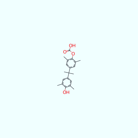 Cc1cc(C(C)(C)c2cc(C)c(OC(=O)O)c(C)c2)cc(C)c1O